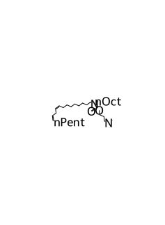 CCCCC/C=C\C/C=C\CCCCCCCCN(CCCCCCCC)C(=O)OCCCN(C)C